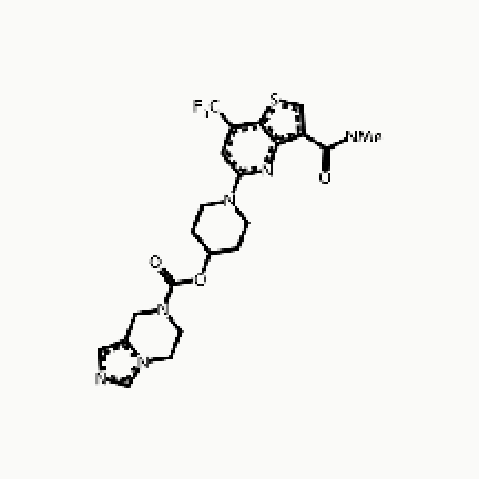 CNC(=O)c1csc2c(C(F)(F)F)cc(N3CCC(OC(=O)N4CCn5cncc5C4)CC3)nc12